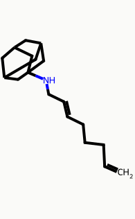 C=CCCCC=CCNC12CC3CC(CC(C3)C1)C2